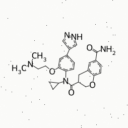 CN(C)CCOc1cc(-c2cn[nH]c2)ccc1N(C(=O)C1COc2ccc(C(N)=O)cc2C1)C1CC1